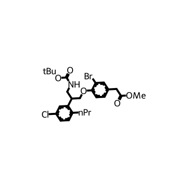 CCCc1ccc(Cl)cc1C(CNC(=O)OC(C)(C)C)COc1ccc(CC(=O)OC)cc1Br